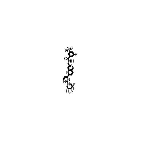 CS(=O)(=O)c1cc(F)cc(C(=O)NCc2cc3nc(-c4ccnc(N5CCC(N)C(F)(F)C5)n4)ccc3cn2)c1